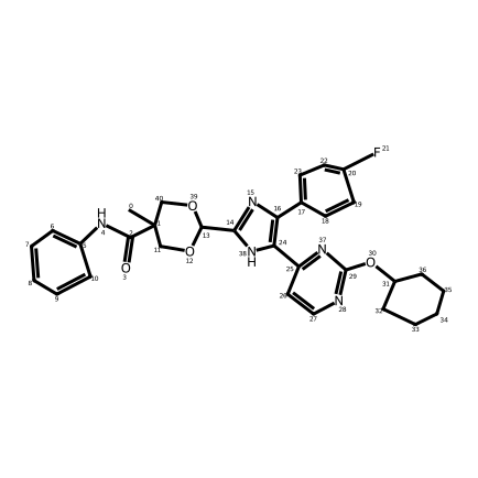 CC1(C(=O)Nc2ccccc2)COC(c2nc(-c3ccc(F)cc3)c(-c3ccnc(OC4CCCCC4)n3)[nH]2)OC1